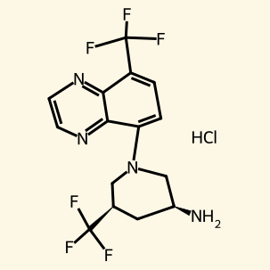 Cl.N[C@H]1C[C@@H](C(F)(F)F)CN(c2ccc(C(F)(F)F)c3nccnc23)C1